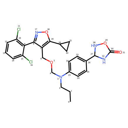 CCCN(COCc1c(-c2c(Cl)cccc2Cl)noc1C1CC1)c1ccc(C2NOC(=O)N2)cc1